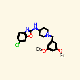 CCOc1cc(CN2CCC(Nc3nc4ccc(Cl)cc4o3)CC2)cc(OCC)c1